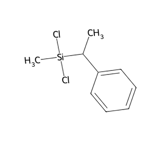 CC(c1ccccc1)[Si](C)(Cl)Cl